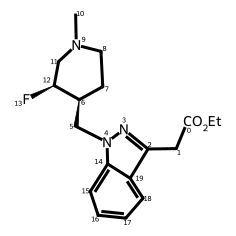 CCOC(=O)Cc1nn(C[C@@H]2CCN(C)C[C@@H]2F)c2ccccc12